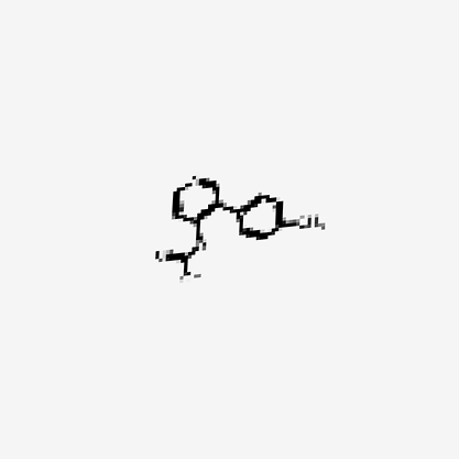 Cc1ccc(-c2cnccc2OC(=O)O)cc1